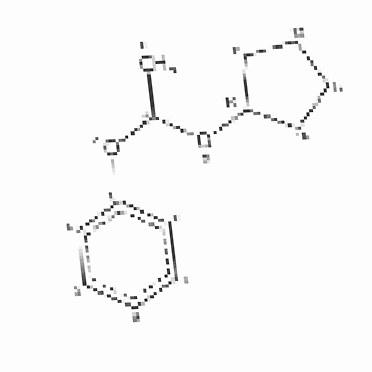 CC(Oc1[c]cccc1)OC1CCCC1